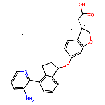 Nc1cccnc1-c1cccc2c1CC[C@H]2Oc1ccc2c(c1)OC[C@H]2CC(=O)O